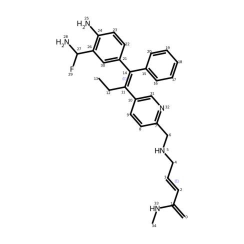 C=C(/C=C/CNCc1ccc(/C(CC)=C(\c2ccccc2)c2ccc(N)c(C(N)F)c2)cn1)NC